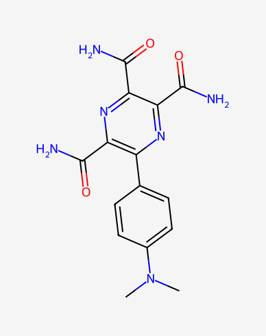 CN(C)c1ccc(-c2nc(C(N)=O)c(C(N)=O)nc2C(N)=O)cc1